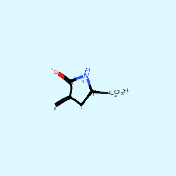 C=C1CC(C(=O)O)NC1=O